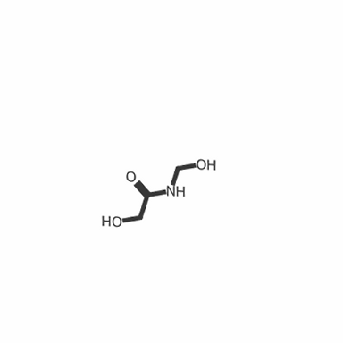 O=C(CO)NCO